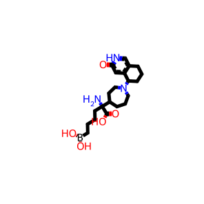 NC(CCCCB(O)O)(C(=O)O)C1CCCN(C2CCCc3c[nH]c(=O)cc32)CC1